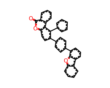 O=c1oc2ccc(-c3ccc(-c4cccc5c4oc4ccccc45)cc3)c(-c3ccccc3)c2c2ccccc12